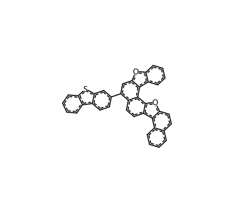 c1ccc2c(c1)ccc1oc3c(ccc4c(-c5ccc6c(c5)sc5ccccc56)cc5oc6ccccc6c5c43)c12